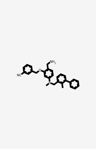 Cc1c(CN(C)c2ccc(CN)c(OCc3cccc(C#N)c3)c2)cccc1-c1ccccc1